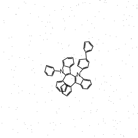 c1ccc(-c2ccc(-n3c(-c4c(-c5ccccc5)n(-c5ccccc5)c5ccccc45)c(-c4ccccc4)c4ccccc43)cc2)cc1